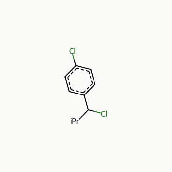 CC(C)C(Cl)c1ccc(Cl)cc1